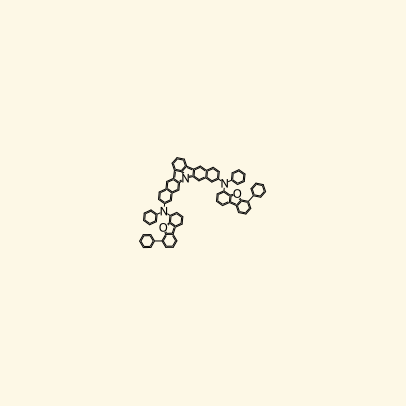 c1ccc(-c2cccc3c2oc2c(N(c4ccccc4)c4ccc5cc6c7cccc8c9cc%10ccc(N(c%11ccccc%11)c%11cccc%12c%11oc%11c(-c%13ccccc%13)cccc%11%12)cc%10cc9n(c6cc5c4)c78)cccc23)cc1